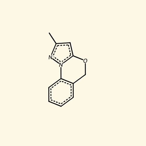 Cc1cc2n(n1)-c1ccccc1CO2